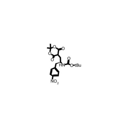 CC(C)(C)OC(=O)N[C@@H](Cc1ccc([N+](=O)[O-])cc1)CC1C(=O)OC(C)(C)OC1=O